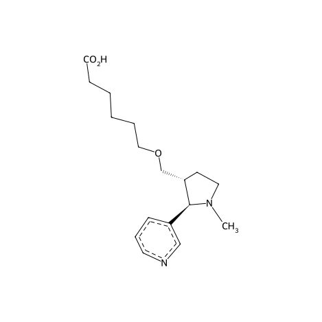 CN1CC[C@@H](COCCCCCC(=O)O)[C@@H]1c1cccnc1